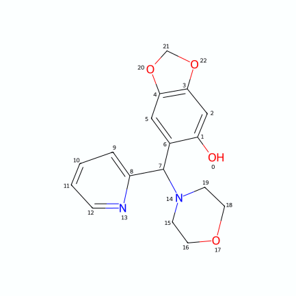 Oc1cc2c(cc1C(c1ccccn1)N1CCOCC1)OCO2